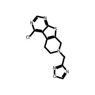 Clc1ncnc2sc3c(c12)CCN(Cc1ncon1)C3